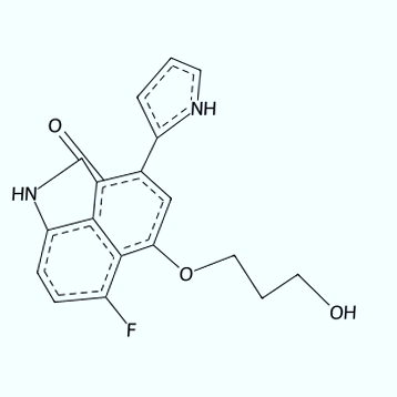 O=C1Nc2ccc(F)c3c(OCCCO)cc(-c4ccc[nH]4)c1c23